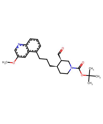 COc1cnc2cccc(CCC[C@@H]3CCN(C(=O)OC(C)(C)C)C[C@@H]3C=O)c2c1